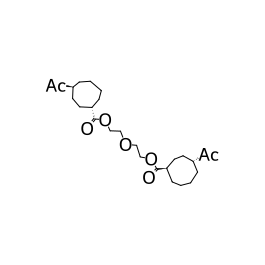 CC(=O)[C@@H]1CCCC[C@@H](C(=O)OCCOCCOC(=O)[C@H]2CCCC[C@H](C(C)=O)CC2)CC1